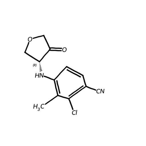 Cc1c(N[C@@H]2COCC2=O)ccc(C#N)c1Cl